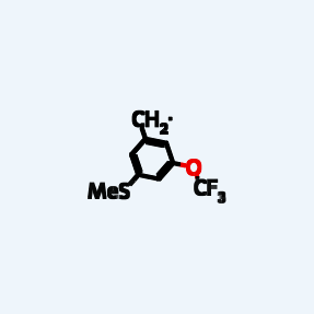 [CH2]c1cc(OC(F)(F)F)cc(SC)c1